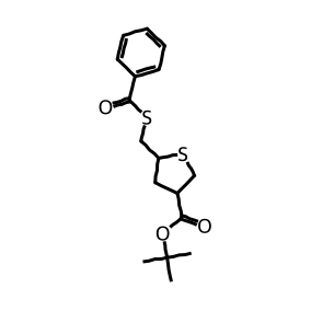 CC(C)(C)OC(=O)C1CSC(CSC(=O)c2ccccc2)C1